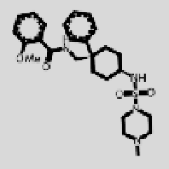 COc1ccccc1C(=O)NC[C@]1(c2ccccc2)CC[C@H](NS(=O)(=O)N2CCN(C)CC2)CC1